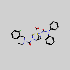 CCN(Cc1ccccc1Cl)C(=O)N1C[S@@]2(C(=O)O)C[C@H]1CN2C(=O)N(c1ccccc1)c1ccccc1